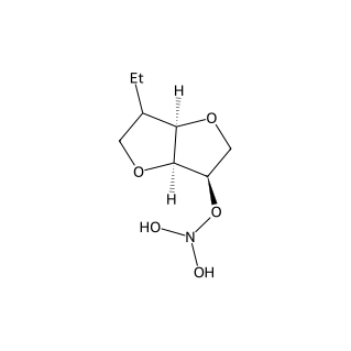 CCC1CO[C@H]2[C@@H]1OC[C@H]2ON(O)O